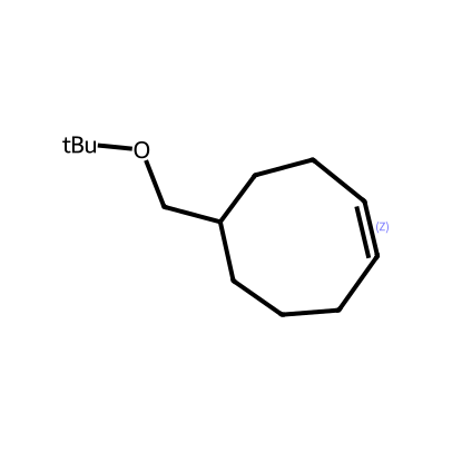 CC(C)(C)OCC1CC/C=C\CCC1